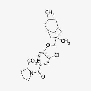 CC1CC2CC(C1)CC(C)(COc1ccc(C(=O)N3CCCC3C(=O)O)cc1Cl)C2